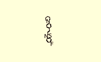 Fc1ccc2nc(C=Cc3ccc(N4CCCCC4)cc3)sc2c1